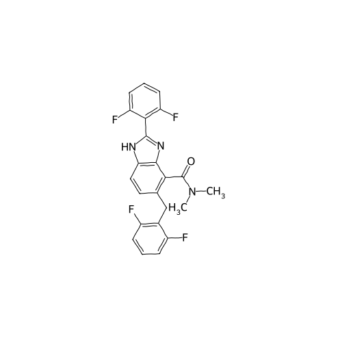 CN(C)C(=O)c1c(Cc2c(F)cccc2F)ccc2[nH]c(-c3c(F)cccc3F)nc12